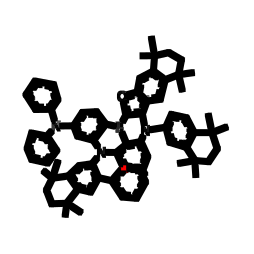 Cc1cc2c3c(c1)N(c1ccc4c(c1)C(C)(C)CCC4(C)C)c1c(oc4cc5c(cc14)C(C)(C)CCC5(C)C)B3c1ccc(N(c3ccccc3)c3ccccc3)cc1N2c1cc2c(cc1-c1ccccc1)C(C)(C)CCC2(C)C